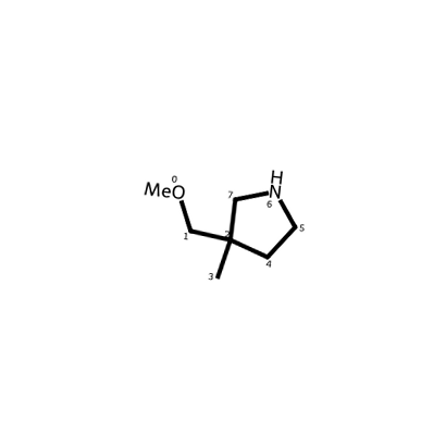 COCC1(C)CCNC1